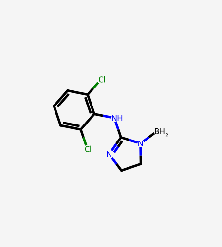 BN1CCN=C1Nc1c(Cl)cccc1Cl